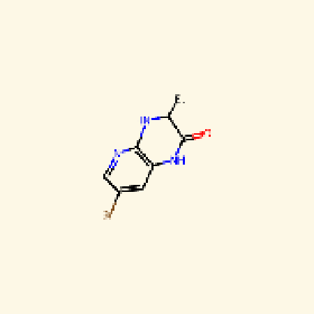 CCC1Nc2ncc(Br)cc2NC1=O